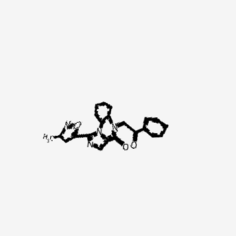 Cc1cc(-c2ncc3c(=O)n(CC(=O)c4ccccc4)c4ccccc4n23)on1